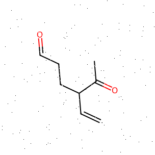 [CH]=CC(CCC=O)C(C)=O